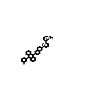 Cc1cccc(-c2c3ccccc3c(-c3ccc4cc(-c5cccc(C6=CNCC=C6)n5)ccc4c3)c3ccccc23)c1